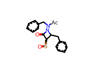 CC(=O)N(Cc1ccccc1)N1C(=O)C(=S=O)C1Cc1ccccc1